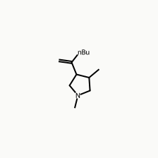 C=C(CCCC)C1CN(C)CC1C